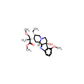 CC[C@@H]1CN2CC[C@@]3(O)C(=Nc4cccc(OC)c43)[C@@H]2C[C@@H]1C(C)(COC)C(=O)OC